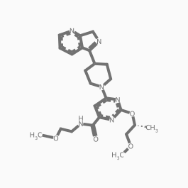 COCCNC(=O)c1cc(N2CCC(C3=NCc4ncccc43)CC2)nc(O[C@H](C)COC)n1